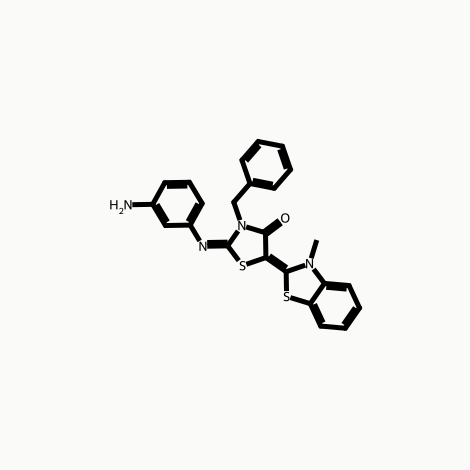 CN1/C(=C2/SC(=Nc3cccc(N)c3)N(Cc3ccccc3)C2=O)Sc2ccccc21